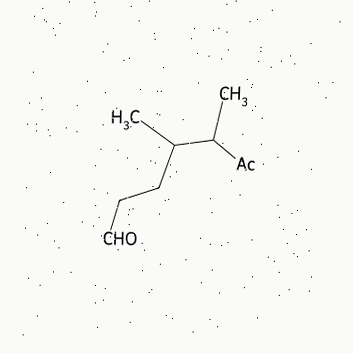 CC(=O)C(C)C(C)CCC=O